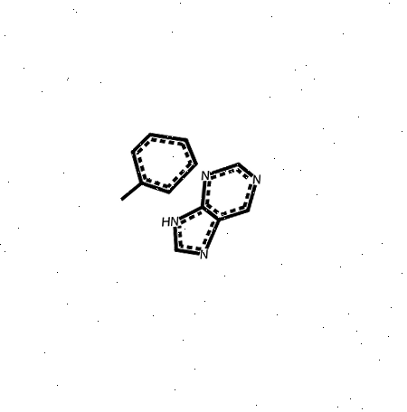 Cc1ccccc1.c1ncc2nc[nH]c2n1